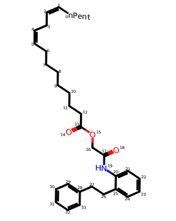 CCCCC/C=C\C/C=C\CCCCCCCC(=O)OCC(=O)Nc1ccccc1CCc1ccccc1